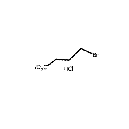 Cl.O=C(O)CCCBr